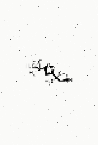 CC(C)(C)c1cc(C(C)(C)CC#N)no1